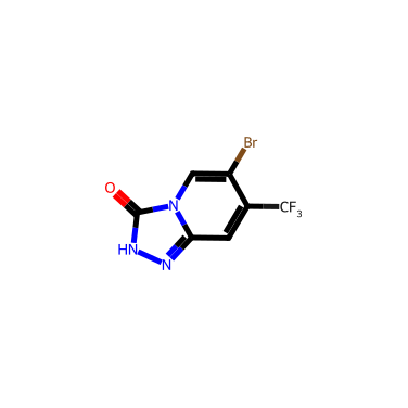 O=c1[nH]nc2cc(C(F)(F)F)c(Br)cn12